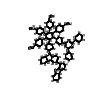 CC(C)(C)c1ccc(-c2c(-c3ccc(-c4nc(-c5ccccc5)nc(-c5ccccc5)n4)cc3)c(-c3ccc(-n4c5ccccc5c5cc(-c6cccc7c6oc6ccccc67)ccc54)cc3)c(-c3ccc(C(C)(C)C)cc3)c(-c3ccc(C(C)(C)C)cc3)c2-c2ccc(C(C)(C)C)cc2)cc1